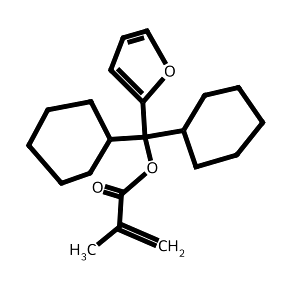 C=C(C)C(=O)OC(c1ccco1)(C1CCCCC1)C1CCCCC1